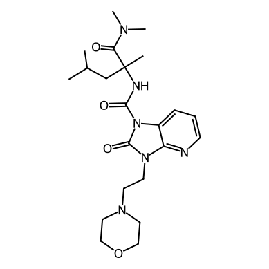 CC(C)CC(C)(NC(=O)n1c(=O)n(CCN2CCOCC2)c2ncccc21)C(=O)N(C)C